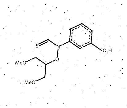 COCC(COC)ON(C=S)c1cccc(S(=O)(=O)O)c1